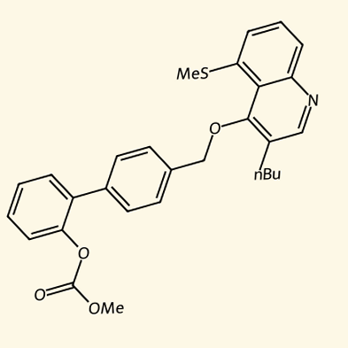 CCCCc1cnc2cccc(SC)c2c1OCc1ccc(-c2ccccc2OC(=O)OC)cc1